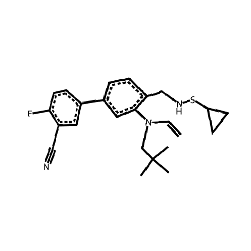 C=CN(CC(C)(C)C)c1cc(-c2ccc(F)c(C#N)c2)ccc1CNSC1CC1